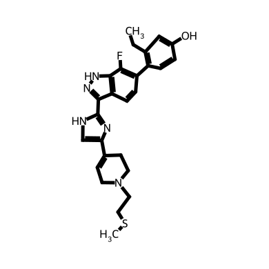 CCc1cc(O)ccc1-c1ccc2c(-c3nc(C4=CCN(CCSC)CC4)c[nH]3)n[nH]c2c1F